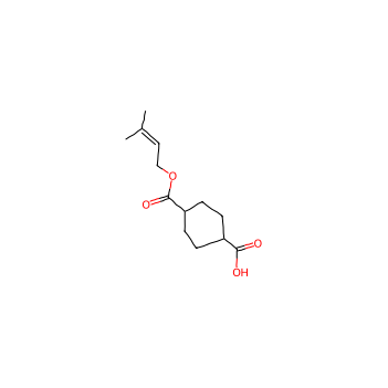 CC(C)=CCOC(=O)C1CCC(C(=O)O)CC1